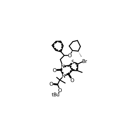 Cc1c(Br)sc2c1c(=O)n(C(C)(C)C(=O)OC(C)(C)C)c(=O)n2CC(O[C@H]1CCCC[C@@H]1C)c1ccccc1